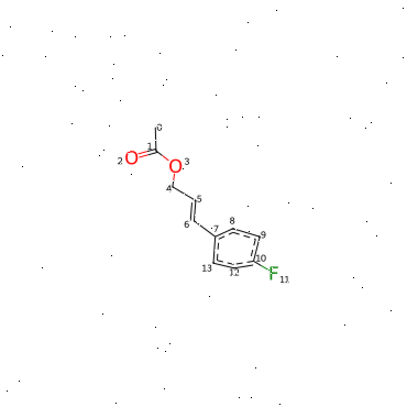 CC(=O)OCC=Cc1ccc(F)cc1